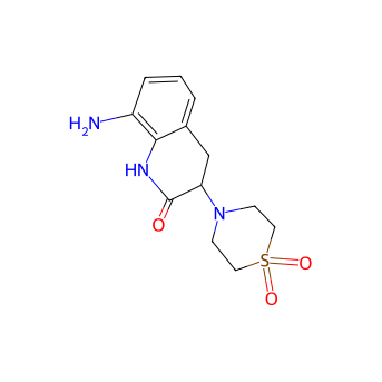 Nc1cccc2c1NC(=O)C(N1CCS(=O)(=O)CC1)C2